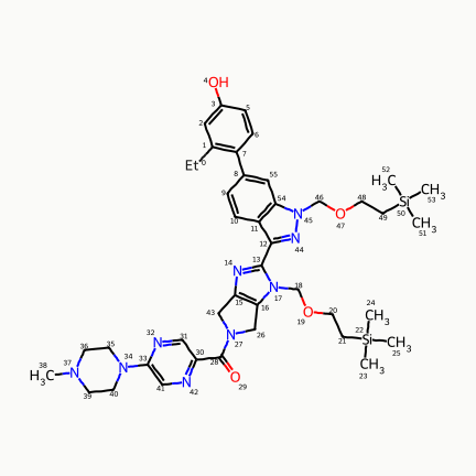 CCc1cc(O)ccc1-c1ccc2c(-c3nc4c(n3COCC[Si](C)(C)C)CN(C(=O)c3cnc(N5CCN(C)CC5)cn3)C4)nn(COCC[Si](C)(C)C)c2c1